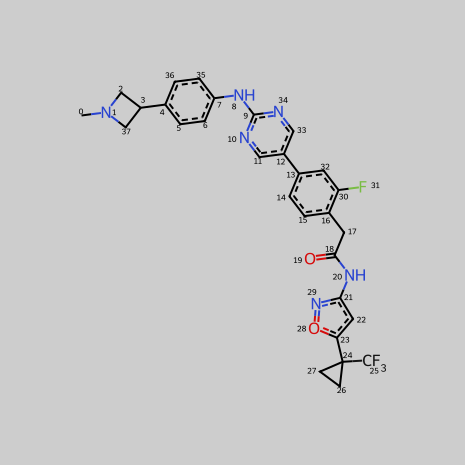 CN1CC(c2ccc(Nc3ncc(-c4ccc(CC(=O)Nc5cc(C6(C(F)(F)F)CC6)on5)c(F)c4)cn3)cc2)C1